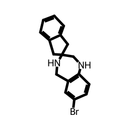 Brc1ccc2c(c1)CNC1(CN2)Cc2ccccc2C1